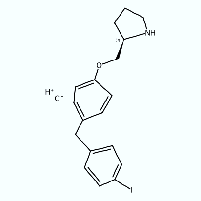 Ic1ccc(Cc2ccc(OC[C@H]3CCCN3)cc2)cc1.[Cl-].[H+]